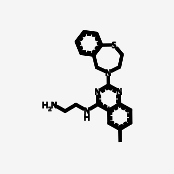 Cc1ccc2nc(N3CCSc4ccccc4C3)nc(NCCN)c2c1